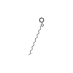 C[CH]CCCCCCCCCCCCCOc1ccccc1